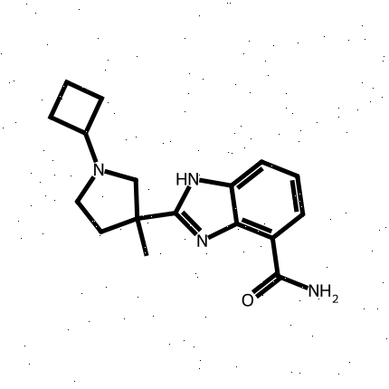 CC1(c2nc3c(C(N)=O)cccc3[nH]2)CCN(C2CCC2)C1